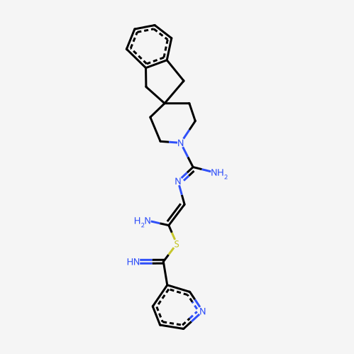 N=C(S/C(N)=C/N=C(\N)N1CCC2(CC1)Cc1ccccc1C2)c1cccnc1